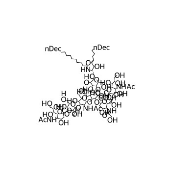 CCCCCCCCCCCCC/C=C/[C@@H](O)[C@H](CO[C@@H]1OC(CO)[C@@H](O[C@@H]2OC(CO)[C@H](O[C@@H]3OC(CO)[C@H](O)[C@H](O[C@@H]4OC(CO)[C@H](O)[C@H](O[C@]5(C(=O)O)CC(O)[C@@H](NC(C)=O)C([C@H](O)[C@H](O)CO)O5)C4O)C3NC(C)=O)[C@H](O[C@]3(C(=O)O)CC(O)[C@@H](NC(=O)CO)C([C@H](O)[C@@H](CO)O[C@]4(C(=O)O)CC(O)[C@@H](NC(C)=O)C([C@H](O)[C@H](O)CO)O4)O3)C2O)[C@H](O)C1O)NC(=O)CCCCCCCCCCCCCCCCCCC